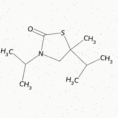 CC(C)N1CC(C)(C(C)C)SC1=O